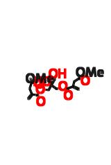 C=C(CC(=O)OC)C(=O)OCC(O)(CO)COC(=O)C(=C)CC(=O)OC